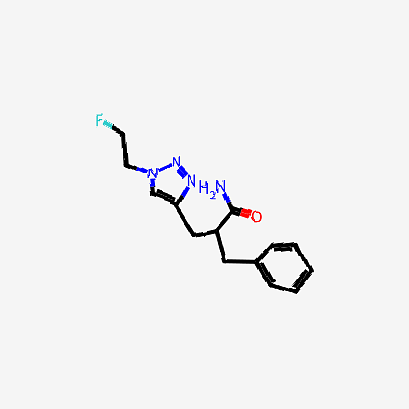 NC(=O)C(Cc1ccccc1)Cc1cn(CCF)nn1